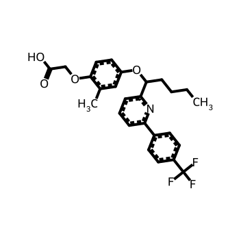 CCCCC(Oc1ccc(OCC(=O)O)c(C)c1)c1cccc(-c2ccc(C(F)(F)F)cc2)n1